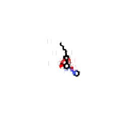 CCCCCCC(C)(C)c1cc(O)c2c(c1)OC(C)(C)[C@@H]1CC=C(C(=O)NN3CCCCC3)C[C@@H]21